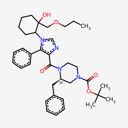 CCCOCC1(O)CCCCC1n1cnc(C(=O)N2CCN(C(=O)OC(C)(C)C)C[C@H]2Cc2ccccc2)c1-c1ccccc1